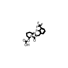 O=C(O)OC1CCCc2nn(Cc3cccc(C(F)(F)F)c3F)c(=O)n21